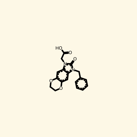 O=C(O)Cn1c(=O)n(Cc2ccccc2)c2cc3c(cc21)OCCO3